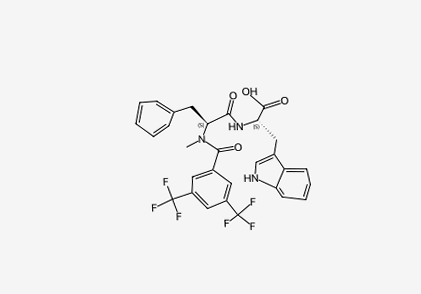 CN(C(=O)c1cc(C(F)(F)F)cc(C(F)(F)F)c1)[C@@H](Cc1ccccc1)C(=O)N[C@@H](Cc1c[nH]c2ccccc12)C(=O)O